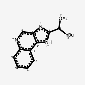 CCCCC(OC(C)=O)c1nc2cnc3ccccc3c2[nH]1